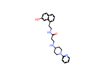 O=C(CCNC1CCN(c2ccccn2)CC1)NCCc1cccc2ccc(O)cc12